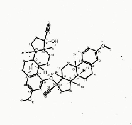 C#C[C@]1(O)CC[C@H]2[C@@H]3CCc4cc(OC)cc(O[C@@]5(C#C)CC[C@H]6[C@@H]7CCc8cc(OC)ccc8[C@H]7CCC65C)c4[C@H]3CCC21C